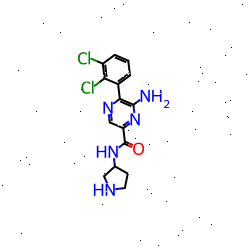 Nc1nc(C(=O)NC2CCNC2)cnc1-c1cccc(Cl)c1Cl